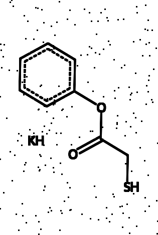 O=C(CS)Oc1ccccc1.[KH]